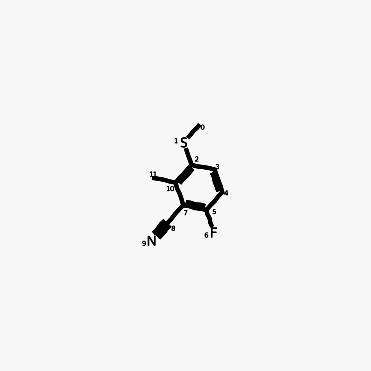 CSc1ccc(F)c(C#N)c1C